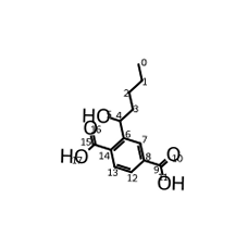 CCCCC(O)c1cc(C(=O)O)ccc1C(=O)O